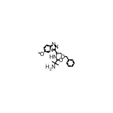 COc1ccc2nnc([C@@H](COCc3ccccc3)NC(=O)C(C)(C)N)n2c1